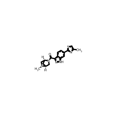 Cc1csc(-c2ccc3c(C(=O)N4C[C@@H]5C[C@H]4CN5C)n[nH]c3c2)n1